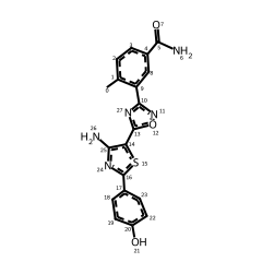 Cc1ccc(C(N)=O)cc1-c1noc(-c2sc(-c3ccc(O)cc3)nc2N)n1